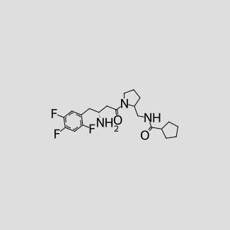 N[C@@H](CC(=O)N1CCCC1CNC(=O)C1CCCC1)Cc1cc(F)c(F)cc1F